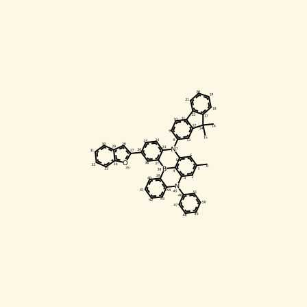 Cc1cc2c3c(c1)N(c1ccc4c(c1)C(C)(C)c1ccccc1-4)c1ccc(-c4cc5ccccc5o4)cc1B3c1ccccc1N2c1ccccc1